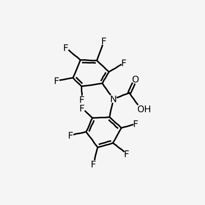 O=C(O)N(c1c(F)c(F)c(F)c(F)c1F)c1c(F)c(F)c(F)c(F)c1F